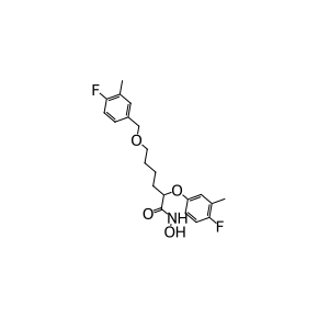 Cc1cc(COCCCCC(Oc2ccc(F)c(C)c2)C(=O)NO)ccc1F